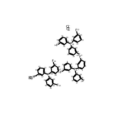 Fc1cccc(P(c2cccc(F)c2)c2cccc(F)c2)c1.Fc1cccc(P(c2cccc(F)c2)c2cccc(F)c2)c1.Fc1cccc(P(c2cccc(F)c2)c2cccc(F)c2)c1.[Cl-].[Cl-].[Cl-].[Rh+3]